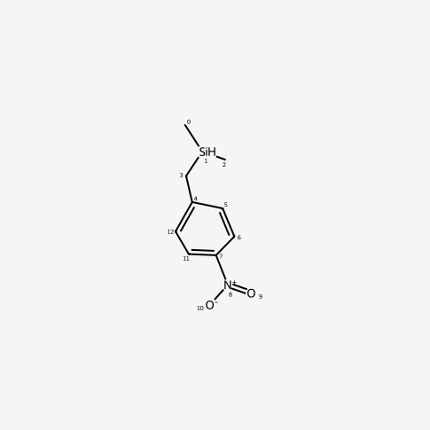 C[SiH](C)Cc1ccc([N+](=O)[O-])cc1